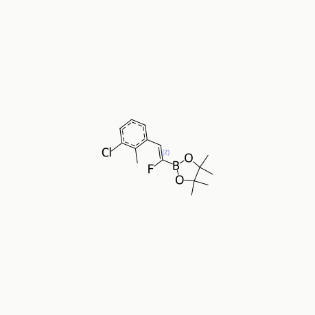 Cc1c(Cl)cccc1/C=C(\F)B1OC(C)(C)C(C)(C)O1